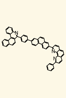 c1ccc(-c2ccc3ccc4ccc(-c5ccc6c(ccc7cc(-c8ccc(-c9nc%10ccccc%10c%10c9ccc9ccccc9%10)cc8)ccc76)c5)nc4c3n2)cc1